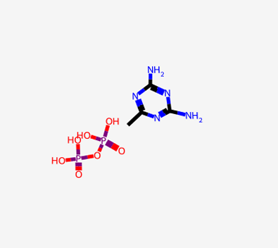 Cc1nc(N)nc(N)n1.O=P(O)(O)OP(=O)(O)O